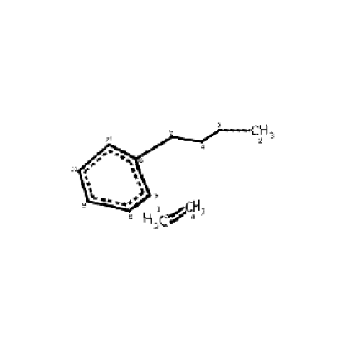 C=C.CCCCc1ccccc1